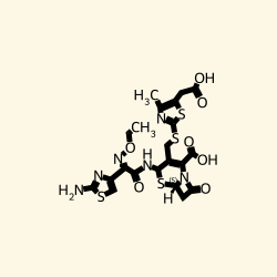 CCON=C(C(=O)NC1S[C@H]2CC(=O)N2C(C(=O)O)=C1CSc1nc(C)c(CC(=O)O)s1)c1csc(N)n1